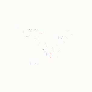 CNC(=O)c1c(-c2ccc(F)cc2)oc2cc(N(C3CC(N)C3)S(C)(=O)=O)c(-c3cccc(-c4cc5cc(F)ccc5[nH]4)c3)cc12